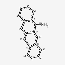 Nc1c2ccccc2cc2cc3ccccc3cc12